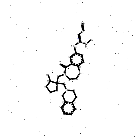 CN/C(=C\C=N)Nc1ccc2c(c1)C(=O)N(CC1(CN3CCc4ccccc4C3)CCCC1C)CCO2